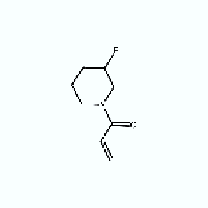 C=CC(=O)N1CCCC(F)C1